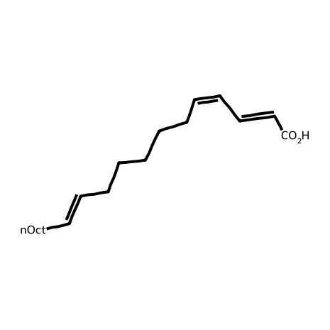 CCCCCCCCC=CCCCCC/C=C\C=CC(=O)O